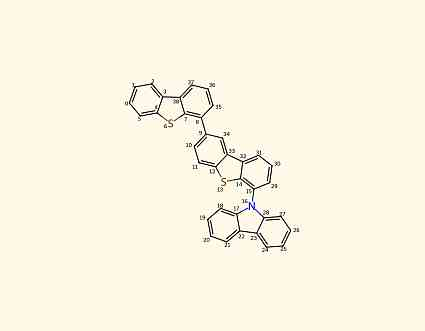 c1ccc2c(c1)sc1c(-c3ccc4sc5c(-n6c7ccccc7c7ccccc76)cccc5c4c3)cccc12